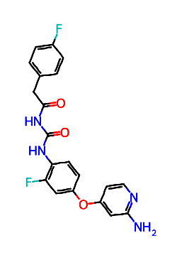 Nc1cc(Oc2ccc(NC(=O)NC(=O)Cc3ccc(F)cc3)c(F)c2)ccn1